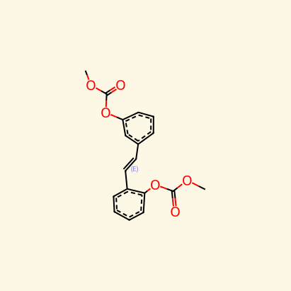 COC(=O)Oc1cccc(/C=C/c2ccccc2OC(=O)OC)c1